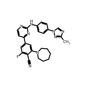 Cc1ncn(-c2ccc(Nc3nccc(-c4cc(F)c(C#N)c(N5CCCCCC5)c4)n3)cc2)n1